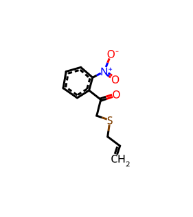 C=CCSCC(=O)c1ccccc1[N+](=O)[O-]